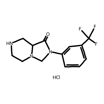 Cl.O=C1C2CNCCN2CN1c1cccc(C(F)(F)F)c1